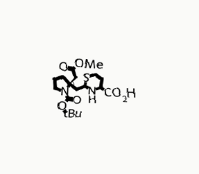 COC(=O)C[C@]1(CC2NC(C(=O)O)CCS2)CCCN1C(=O)OC(C)(C)C